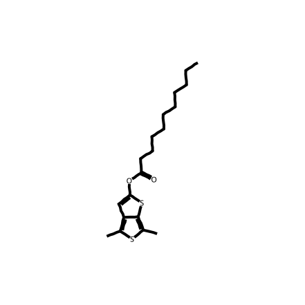 CCCCCCCCCCC(=O)Oc1cc2c(C)sc(C)c2s1